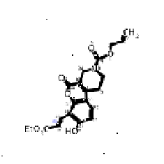 C=CCOC(=O)N1CCc2c(c(=O)oc3c(/C=C/C(=O)OCC)c(O)ccc23)C1